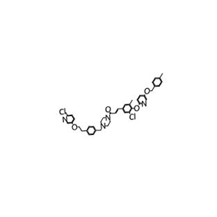 Cc1ccc(COc2ccc(Oc3c(C)cc(/C=C/C(=O)N4CCN(Cc5ccc(CCOc6ccc(Cl)nc6)cc5)CC4)cc3Cl)nc2)cc1